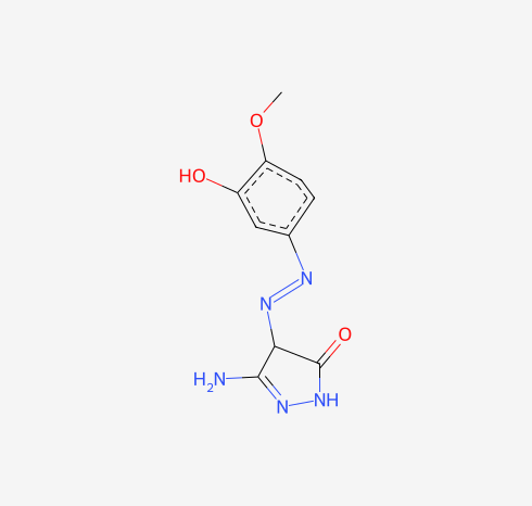 COc1ccc(N=NC2C(=O)NN=C2N)cc1O